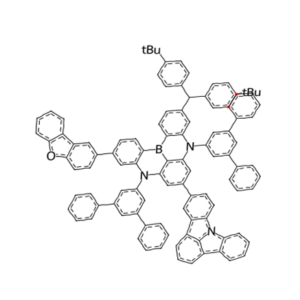 CC(C)(C)c1ccc(C(c2ccc(C(C)(C)C)cc2)c2ccc3c(c2)N(c2cc(-c4ccccc4)cc(-c4ccccc4)c2)c2cc(-c4ccc5c(c4)c4cccc6c7ccccc7n5c64)cc4c2B3c2ccc(-c3ccc5oc6ccccc6c5c3)cc2N4c2cc(-c3ccccc3)cc(-c3ccccc3)c2)cc1